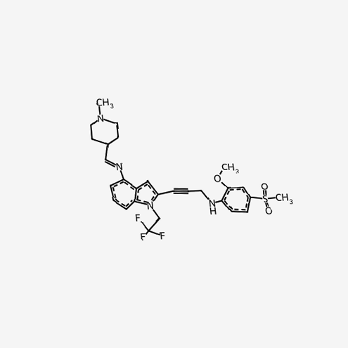 COc1cc(S(C)(=O)=O)ccc1NCC#Cc1cc2c(/N=C/C3CCN(C)CC3)cccc2n1CC(F)(F)F